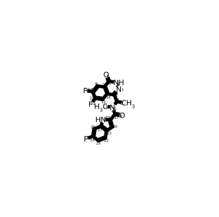 CC(c1n[nH]c(=O)c2cc(F)c(F)cc12)N(C)C(=O)c1cc2ccc(F)cc2[nH]1